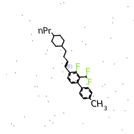 CCCC1CCC(CC/C=C/c2ccc(-c3ccc(C)cc3)c(C(F)F)c2F)CC1